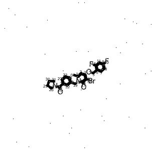 Cc1cc(OCc2ccc(F)cc2F)c(Br)c(=O)n1Cc1cccc(C(=O)N2CCCC2)c1